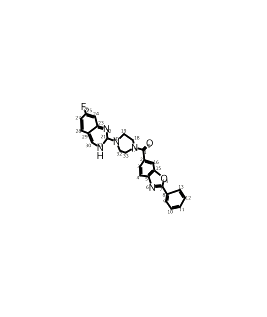 O=C(c1ccc2nc(-c3ccccc3)oc2c1)N1CCN(C2N=c3cc(F)ccc3=CN2)CC1